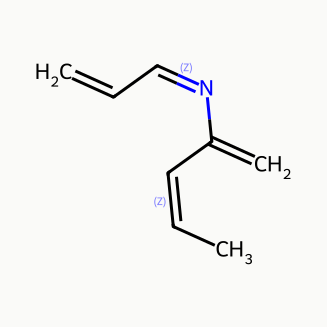 C=C/C=N\C(=C)/C=C\C